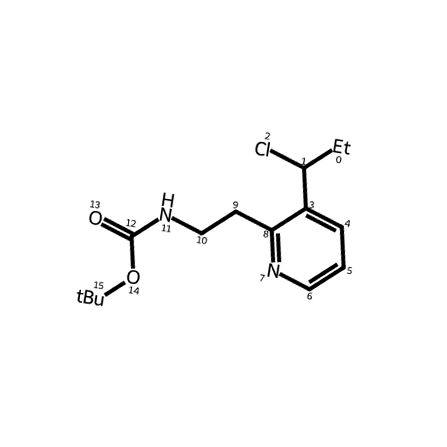 CCC(Cl)c1cccnc1CCNC(=O)OC(C)(C)C